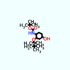 CC(C)(C)OC(=O)N[C@@H]1CC[C@@H](O)C[C@H]1O[Si](C)(C)C(C)(C)C